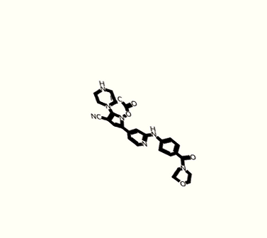 N#Cc1cc(-c2ccnc(Nc3ccc(C(=O)N4CCOCC4)cc3)c2)n(OC(=O)C(F)(F)F)c1N1CCNCC1